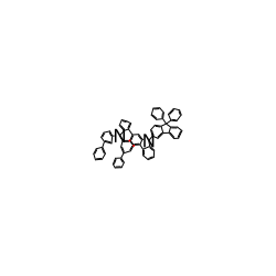 c1ccc(-c2cccc(N(c3cccc(-c4ccccc4)c3)c3ccccc3-c3ccc4c5ccccc5n(-c5ccc6c(c5)-c5ccccc5C6(c5ccccc5)c5ccccc5)c4c3)c2)cc1